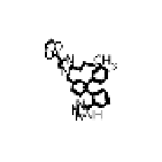 CCCCc1nc(C2OCCO2)cn1Cc1ccc(-c2ccccc2-c2nnn[nH]2)c(-c2ccccc2)c1